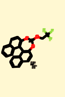 FC(F)(F)C[O][Al]1[O]c2ccc3ccccc3c2-c2c(ccc3ccccc23)[O]1.[H-].[Li+]